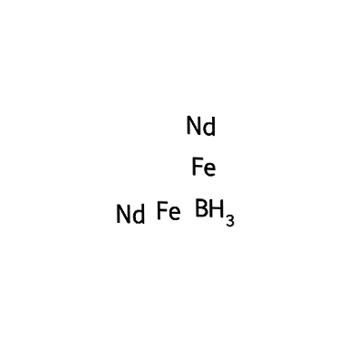 B.[Fe].[Fe].[Nd].[Nd]